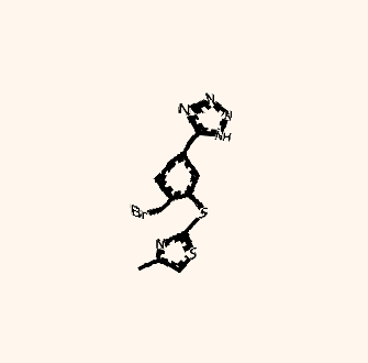 Cc1csc(Sc2cc(-c3nnn[nH]3)ccc2Br)n1